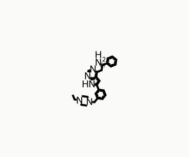 CCN1CCN(Cc2cccc(-c3cc4c(C[C@@H](N)c5ccccc5)ncnc4[nH]3)c2)CC1